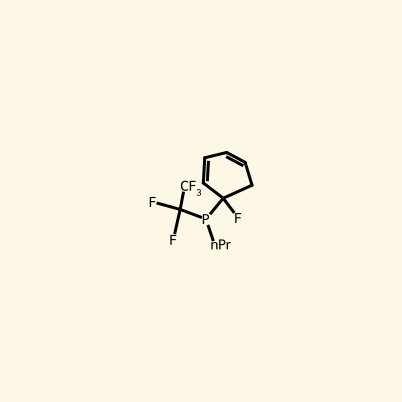 CCCP(C1(F)C=CC=CC1)C(F)(F)C(F)(F)F